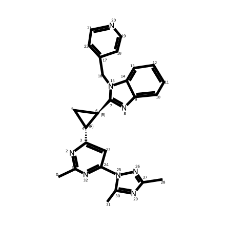 Cc1nc([C@@H]2C[C@H]2c2nc3ccccc3n2Cc2ccncc2)cc(-n2nc(C)nc2C)n1